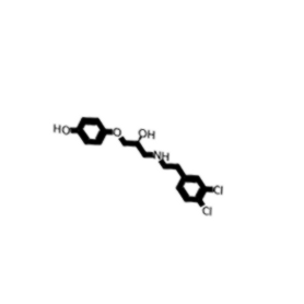 Oc1ccc(OC[C@H](O)CNCCc2ccc(Cl)c(Cl)c2)cc1